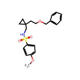 O=S(=O)(NCC1(CCOCc2ccccc2)CC1)c1ccc(OC(F)(F)F)cc1